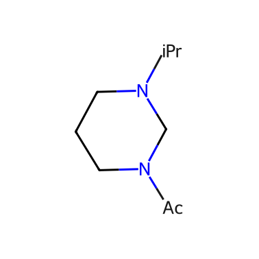 CC(=O)N1CCCN(C(C)C)C1